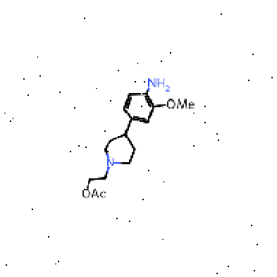 COc1cc(C2CCN(CCOC(C)=O)CC2)ccc1N